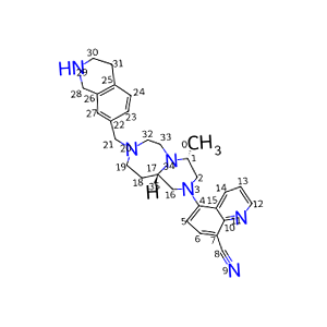 C[C@@H]1CN(c2ccc(C#N)c3ncccc23)C[C@@H]2CCN(Cc3ccc4c(c3)CNCC4)CCN21